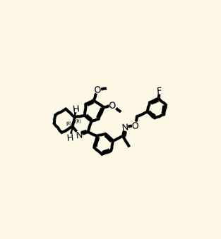 COc1cc2c(cc1OC)[C@H]1CCCC[C@H]1N=C2c1cccc(C(C)=NOCc2cccc(F)c2)c1